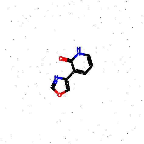 O=c1[nH]cccc1-c1cocn1